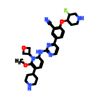 COC1=C(C2CCNCC2)C=CC(Nc2nccc(-c3ccc(O[C@@H]4CCNC[C@H]4F)c(C#N)c3)n2)N1C1COC1